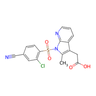 Cc1c(CC(=O)O)c2cccnc2n1S(=O)(=O)c1ccc(C#N)cc1Cl